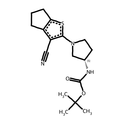 CC(C)(C)OC(=O)N[C@H]1CCN(c2sc3c(c2C#N)CCC3)C1